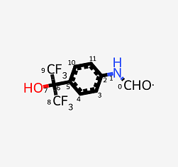 O=[C]Nc1ccc(C(O)(C(F)(F)F)C(F)(F)F)cc1